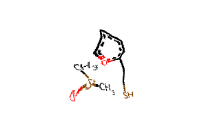 C[S+](C)[O-].SCc1ccco1